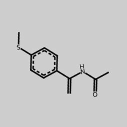 C=C(NC(C)=O)c1ccc(SC)cc1